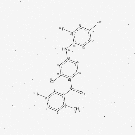 Cc1ccc(I)cc1C(=O)c1ccc(Nc2ccc(F)cc2F)cc1Cl